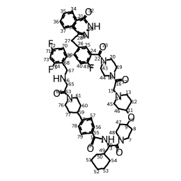 O=C(N[C@@H](C(=O)N1CCC(OC2CCN(CC(=O)N3CCN(C(=O)c4cc(Cc5n[nH]c(=O)c6ccccc56)ccc4F)CC3)CC2)CC1)C1CCCCC1)c1ccc(C2CCN(C(=O)CNCc3ccc(F)cc3F)CC2)cc1